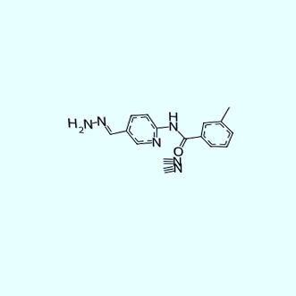 C#N.C#N.Cc1cccc(C(=O)Nc2ccc(C=NN)cn2)c1